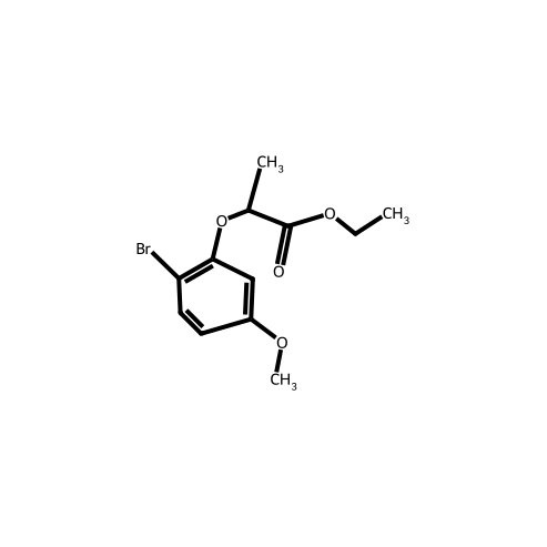 CCOC(=O)C(C)Oc1cc(OC)ccc1Br